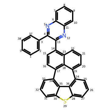 c1ccc(-c2nc3ccccc3nc2-c2ccc3c4c(cccc24)-c2cccc4sc5cccc-3c5c24)cc1